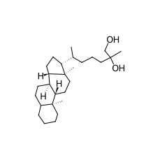 CC(CCCC(C)(O)CO)[C@H]1CC[C@H]2[C@@H]3CCC4CCCC[C@]4(C)[C@H]3CC[C@]12C